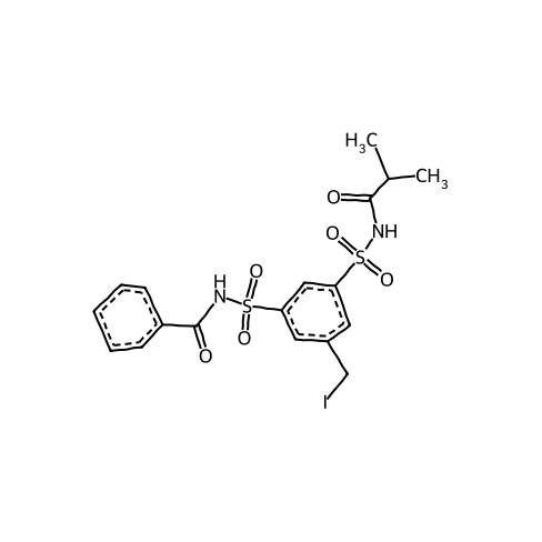 CC(C)C(=O)NS(=O)(=O)c1cc(CI)cc(S(=O)(=O)NC(=O)c2ccccc2)c1